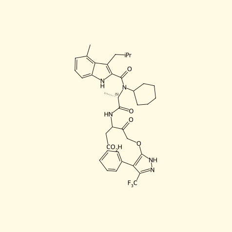 Cc1cccc2[nH]c(C(=O)N(C3CCCCC3)[C@@H](C)C(=O)NC(CC(=O)O)C(=O)COc3[nH]nc(C(F)(F)F)c3-c3ccccc3)c(CC(C)C)c12